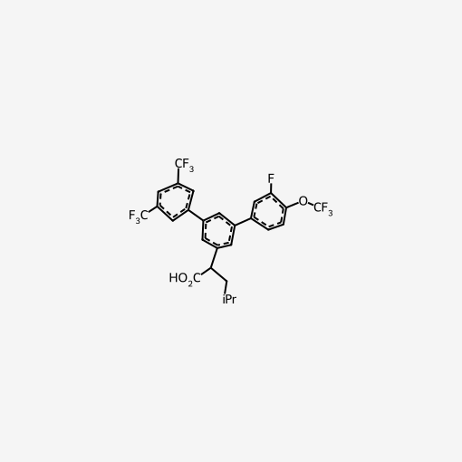 CC(C)CC(C(=O)O)c1cc(-c2cc(C(F)(F)F)cc(C(F)(F)F)c2)cc(-c2ccc(OC(F)(F)F)c(F)c2)c1